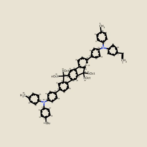 C=Cc1ccc(N(c2ccc(C)cc2)c2ccc(-c3ccc4c(c3)C(CCCCCCCC)(CCCCCCCC)c3cc5c(cc3-4)C(CCCCCCCC)(CCCCCCCC)c3cc(-c4ccc(N(c6ccc(C)cc6)c6ccc(C(C)(C)C)cc6)cc4)ccc3-5)cc2)cc1